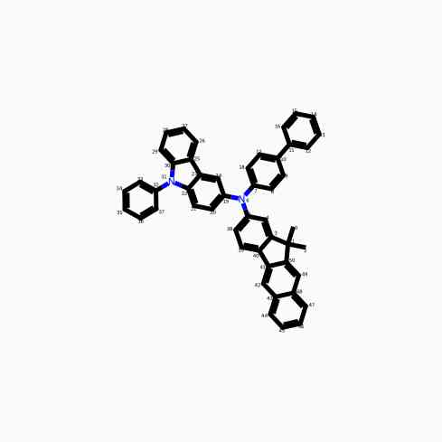 CC1(C)c2cc(N(c3ccc(-c4ccccc4)cc3)c3ccc4c(c3)c3ccccc3n4-c3ccccc3)ccc2-c2cc3ccccc3cc21